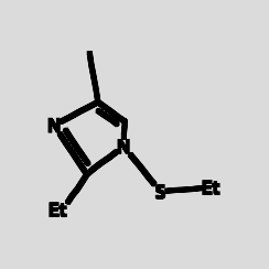 CCSn1cc(C)nc1CC